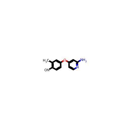 Cc1cc(Oc2ccnc(N)c2)ccc1N=O